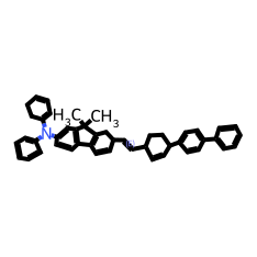 CC1(C)C2=C(C=CC(/C=C/C3C=CC(c4ccc(-c5ccccc5)cc4)CC3)C2)c2ccc(N(C3=CC=CCC3)c3ccccc3)cc21